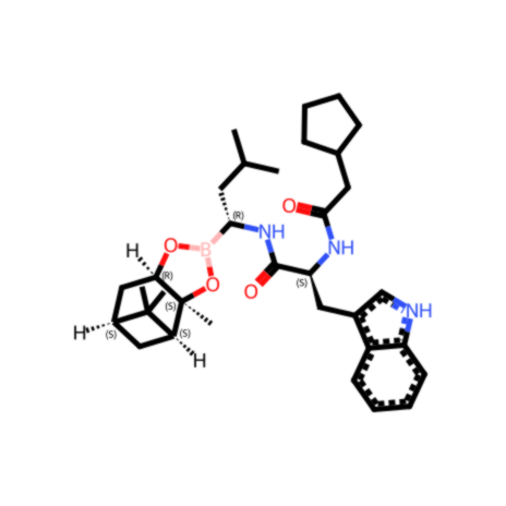 CC(C)C[C@H](NC(=O)[C@H](Cc1c[nH]c2ccccc12)NC(=O)CC1CCCC1)B1O[C@@H]2C[C@@H]3C[C@@H](C3(C)C)[C@]2(C)O1